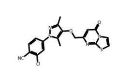 Cc1nn(-c2ccc(C#N)c(Cl)c2)c(C)c1OCc1cc(=O)n2ccsc2n1